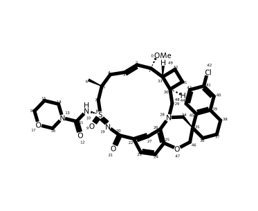 CO[C@H]1/C=C/C[C@H](C)C[S@@](=O)(NC(=O)N2CCCOC2)=NC(=O)c2ccc3c(c2)N(C[C@@H]2CC[C@H]21)C[C@@]1(CCCc2cc(Cl)ccc21)CO3